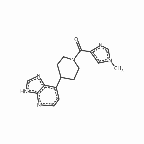 Cn1cnc(C(=O)N2CCC(c3ccnc4[nH]cnc34)CC2)c1